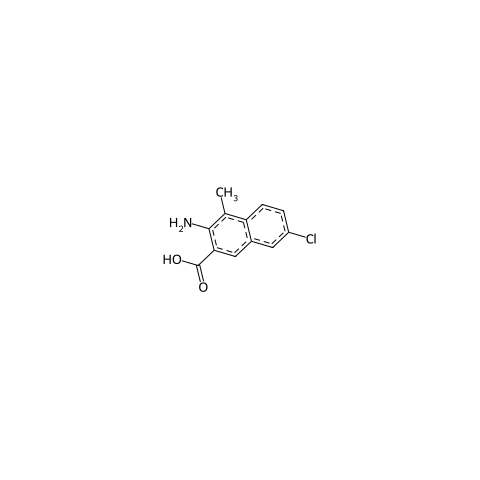 Cc1c(N)c(C(=O)O)cc2cc(Cl)ccc12